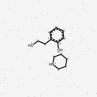 C1CCNCC1.OCCc1ccccc1O